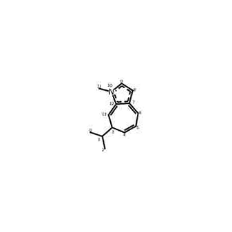 CC(C)C1C=CC=c2ccn(C)c2=C1